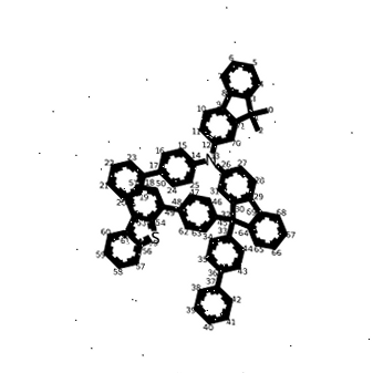 CC1(C)c2ccccc2-c2ccc(N(c3ccc(-c4ccccc4)cc3)c3ccc4c(c3)C(c3ccc(-c5ccccc5)cc3)(c3ccc(-c5cccc6c5sc5ccccc56)cc3)c3ccccc3-4)cc21